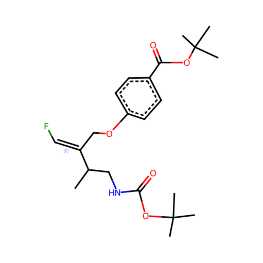 CC(CNC(=O)OC(C)(C)C)/C(=C/F)COc1ccc(C(=O)OC(C)(C)C)cc1